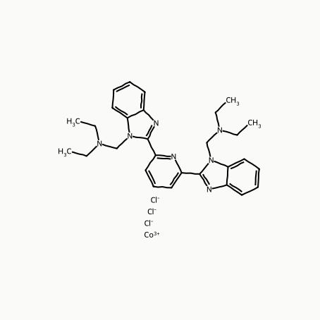 CCN(CC)Cn1c(-c2cccc(-c3nc4ccccc4n3CN(CC)CC)n2)nc2ccccc21.[Cl-].[Cl-].[Cl-].[Co+3]